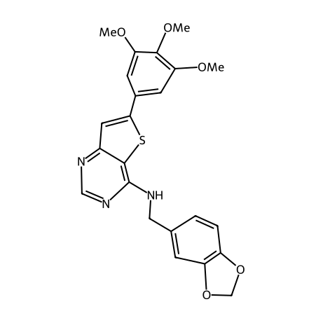 COc1cc(-c2cc3ncnc(NCc4ccc5c(c4)OCO5)c3s2)cc(OC)c1OC